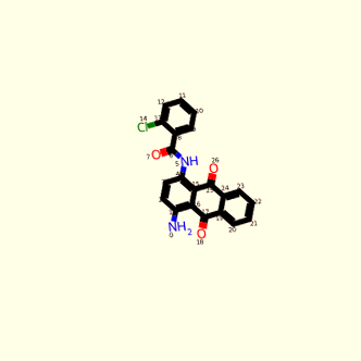 Nc1ccc(NC(=O)c2ccccc2Cl)c2c1C(=O)c1ccccc1C2=O